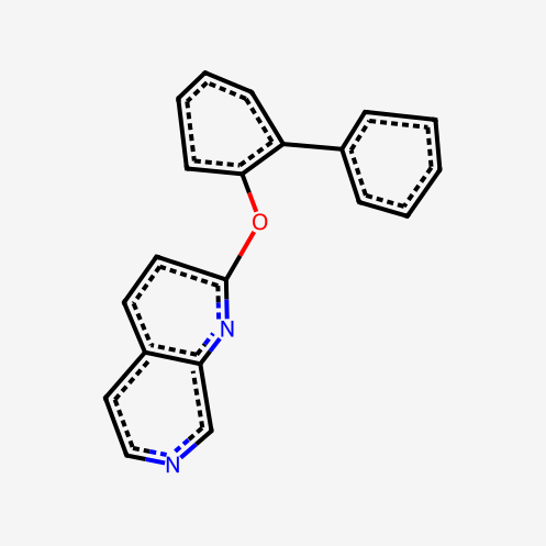 c1ccc(-c2ccccc2Oc2ccc3ccncc3n2)cc1